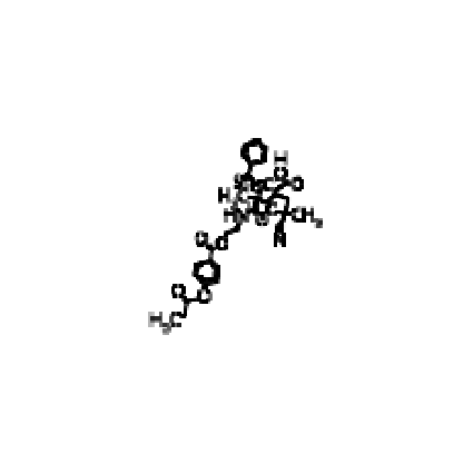 CCC(=O)Oc1ccc(C(=O)OCCNC(=O)C(C)(CC(C)(CC(C)(C)C#N)C(=O)O)SC(=S)c2ccccc2)cc1